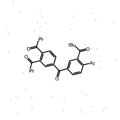 CC(=O)c1ccc(C(=O)c2ccc(C(=O)C(C)C)c(C(=O)C(C)C)c2)cc1C(=O)C(C)(C)C